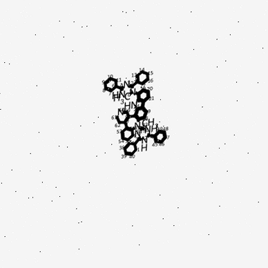 CN(/C(=N\C(=N)C1C=CC=CC1)C1=CCCC=C1)c1cccc2c1[nH]c1c3c(ccc12)N(C1(C)N=C(C2C=CC=CC2)NC(c2ccccc2)N1)C1=C(C=CCC1)C1=C3C=NCC1